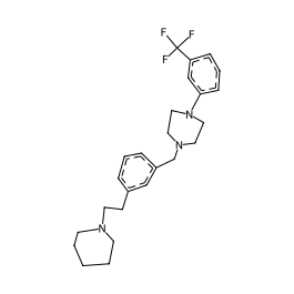 FC(F)(F)c1cccc(N2CCN(Cc3cccc(CCN4CCCCC4)c3)CC2)c1